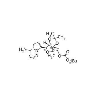 CC[C@@H](C)OC(=O)OC[C@@]1(C)O[C@@H](c2ccc3c(N)ncnn23)[C@@H]2OC(C)(C)O[C@@H]21